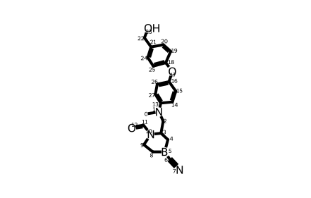 CN(CC1CB(C#N)CCN1C=O)c1ccc(Oc2ccc(CO)cc2)cc1